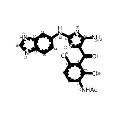 CC(=O)Nc1ccc(Cl)c(C(=O)c2sc(Nc3ccc4nc[nH]c4c3)nc2N)c1Cl